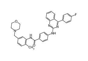 Cc1ccc(CN2CCOCC2)cc1NC(=O)c1ccc(Nc2nc(-c3ccc(F)cc3)c3ccccc3n2)cc1